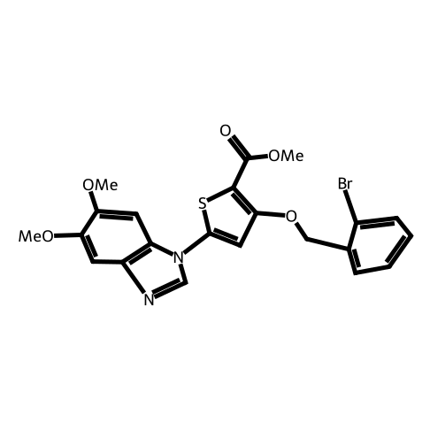 COC(=O)c1sc(-n2cnc3cc(OC)c(OC)cc32)cc1OCc1ccccc1Br